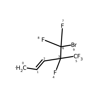 [CH2]C=CC(F)(C(F)(F)F)C(F)(F)Br